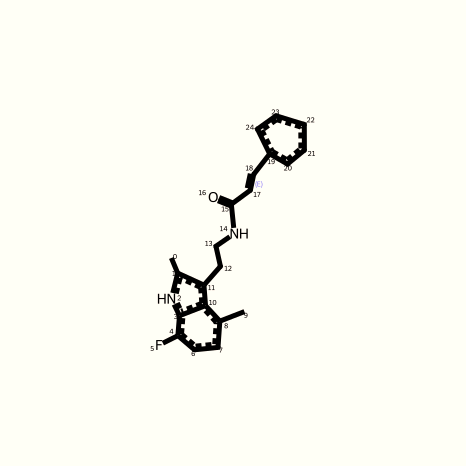 Cc1[nH]c2c(F)ccc(C)c2c1CCNC(=O)/C=C/c1ccccc1